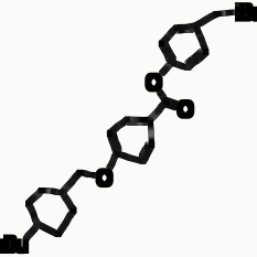 CCCCC1CCC(COc2ccc(C(=O)Oc3ccc(CC(C)CC)cc3)cc2)CC1